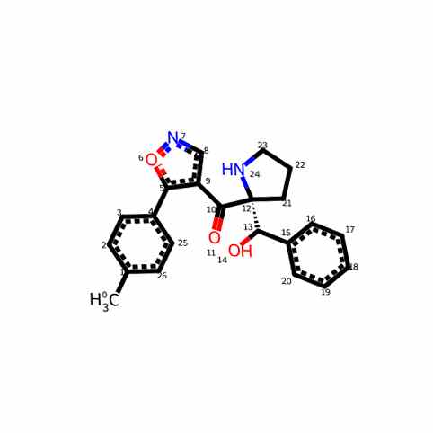 Cc1ccc(-c2oncc2C(=O)[C@]2(C(O)c3ccccc3)CCCN2)cc1